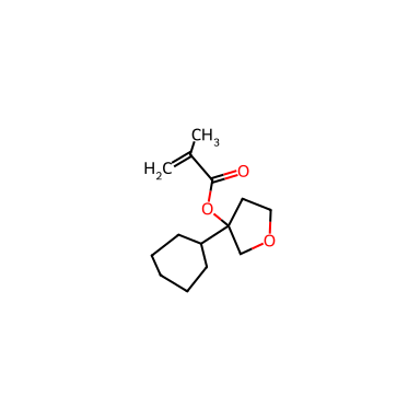 C=C(C)C(=O)OC1(C2CCCCC2)CCOC1